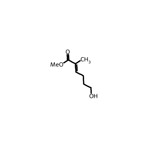 COC(=O)C(C)=CCCCO